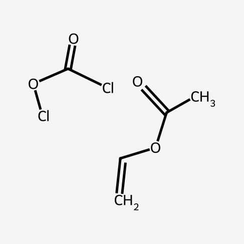 C=COC(C)=O.O=C(Cl)OCl